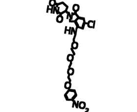 O=C1CCC(N2Cc3c(NCCOCCOCCOCCOc4ccc([N+](=O)[O-])cc4)cc(Cl)cc3C2=O)C(=O)N1